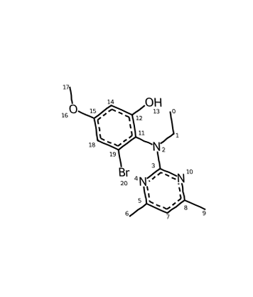 CCN(c1nc(C)cc(C)n1)c1c(O)cc(OC)cc1Br